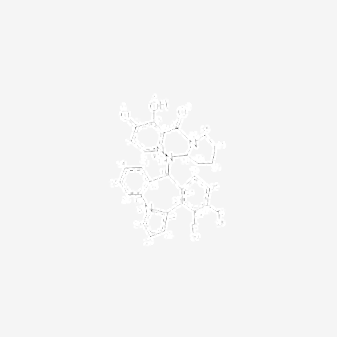 O=C1c2c(O)c(=O)ccn2N(C2c3ccccc3-n3cccc3-c3c2ccc(F)c3F)C2CCCCN12